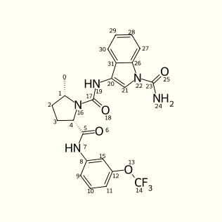 C[C@H]1CC[C@@H](C(=O)Nc2cccc(OC(F)(F)F)c2)N1C(=O)Nc1cn(C(N)=O)c2ccccc12